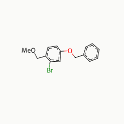 COCc1ccc(OCc2ccccc2)cc1Br